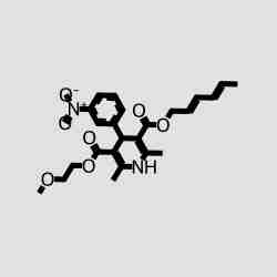 C/C=C/C=C/COC(=O)C1=C(C)NC(C)=C(C(=O)OCCOC)C1c1cccc([N+](=O)[O-])c1